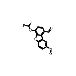 O=Cc1ccc(OC(F)F)c2oc3ccc(N=O)cc3c12